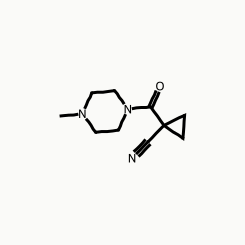 CN1CCN(C(=O)C2(C#N)CC2)CC1